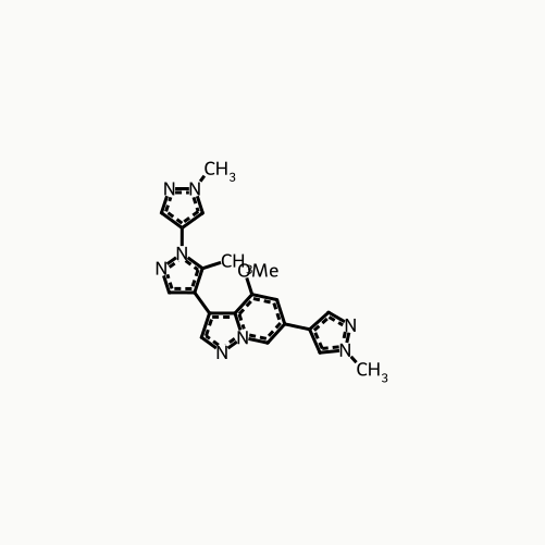 COc1cc(-c2cnn(C)c2)cn2ncc(-c3cnn(-c4cnn(C)c4)c3C)c12